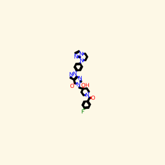 O=C(c1ccc(F)cc1)N1CCC(O)(Cn2cnc3c(cnn3-c3ccc(N4CCCn5ccnc54)cc3)c2=O)CC1